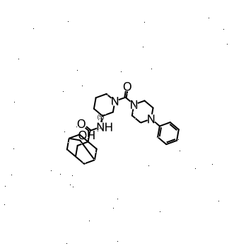 O=C(N1CCN(c2ccccc2)CC1)N1CCC[C@H](NC(=O)C23CC4CC(C2)C(O)C(C4)C3)C1